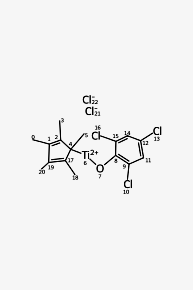 CC1=C(C)[C](C)([Ti+2][O]c2c(Cl)cc(Cl)cc2Cl)C(C)=C1C.[Cl-].[Cl-]